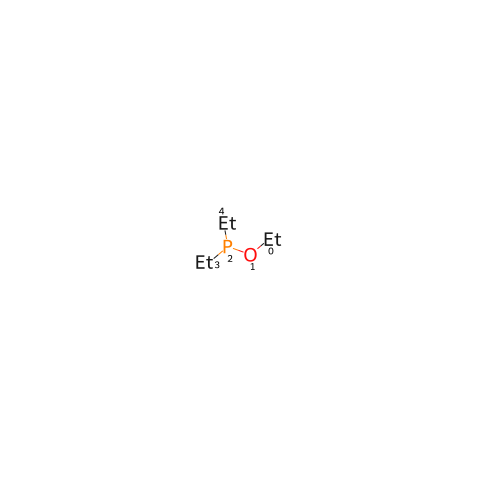 CCOP(CC)CC